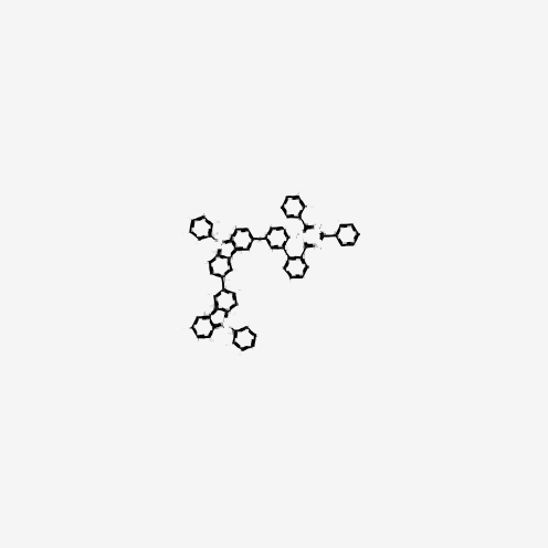 c1ccc(-c2nc(-c3ccccc3)nc(-c3ccccc3-c3cccc(-c4ccc5c(c4)c4cc(-c6ccc7c(c6)c6ccccc6n7-c6ccccc6)ccc4n5-c4ccccc4)c3)n2)cc1